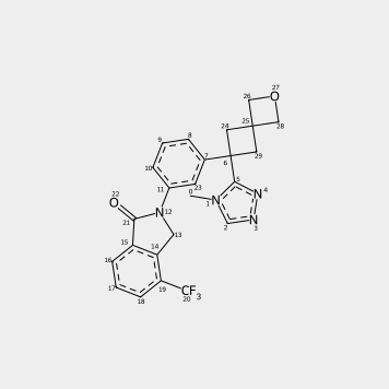 Cn1cnnc1C1(c2cccc(N3Cc4c(cccc4C(F)(F)F)C3=O)c2)CC2(COC2)C1